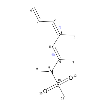 C=C/C=C(C)\C=C(/C)N(C)S(C)(=O)=O